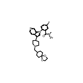 CC(C)N(C)C(=O)c1cc(F)ccc1-n1cc(C2CCN(CC3CCC4(CC3)OCCO4)CC2)c2ccncc21